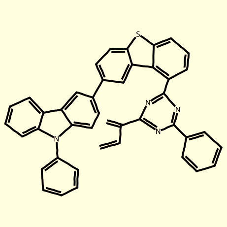 C=CC(=C)c1nc(-c2ccccc2)nc(-c2cccc3sc4ccc(-c5ccc6c(c5)c5ccccc5n6-c5ccccc5)cc4c23)n1